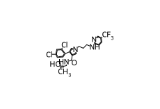 C[C@@H](O)CNC(=O)c1cn(CCCNc2ccc(C(F)(F)F)cn2)cc1-c1ccc(Cl)cc1Cl